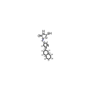 O=C1NC(S)S/C1=C\c1cnn(-c2ccc3ccccc3c2)c1